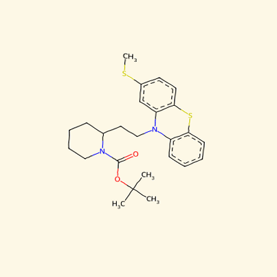 CSc1ccc2c(c1)N(CCC1CCCCN1C(=O)OC(C)(C)C)c1ccccc1S2